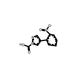 O=C(O)n1cc(-c2ccccc2[N+](=O)[O-])cn1